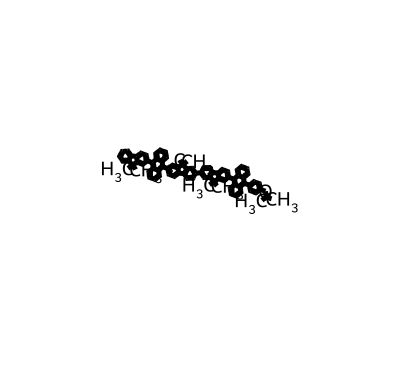 CC(C)Oc1ccc(-c2c3ccccc3c(-c3ccc4c(c3)C(C)(C)c3cc(-c5ccc6c(c5)C(C)(C)c5cc(-c7c8ccccc8c(-c8ccc9c(c8)C(C)(C)c8ccccc8-9)c8ccccc78)ccc5-6)ccc3-4)c3ccccc23)cc1